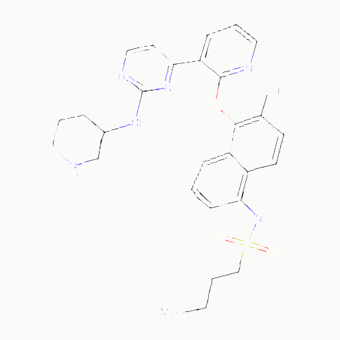 COCCCS(=O)(=O)Nc1cccc2c(Oc3ncccc3-c3ccnc(NC4CCCNC4)n3)c(C)ccc12